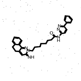 N=c1cc2c(nn1CCCCCCCC(=O)Nc1ccc(-c3ccccc3)nn1)-c1ccccc1CC2